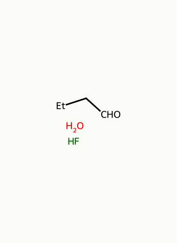 CCCC=O.F.O